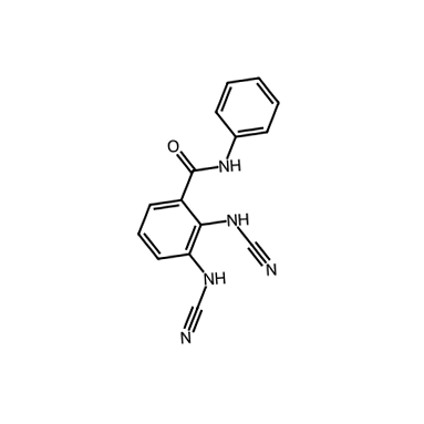 N#CNc1cccc(C(=O)Nc2ccccc2)c1NC#N